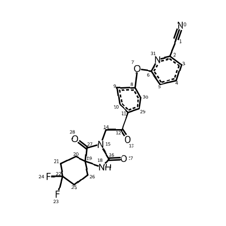 N#Cc1cccc(Oc2ccc(C(=O)CN3C(=O)NC4(CCC(F)(F)CC4)C3=O)cc2)n1